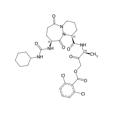 C[C@H](NC(=O)[C@@H]1CCCN2C(=O)CC[C@H](NC(=O)NC3CCCCC3)C(=O)N12)C(=O)COC(=O)c1c(Cl)cccc1Cl